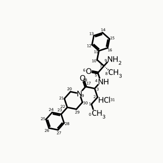 CCCC(NC(=O)[C@](C)(N)Cc1ccccc1)C(=O)N1CCC(c2ccccc2)CC1.Cl